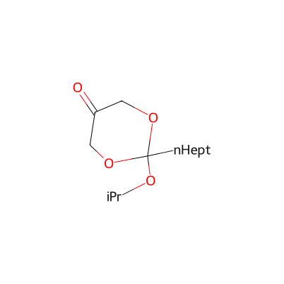 CCCCCCCC1(OC(C)C)OCC(=O)CO1